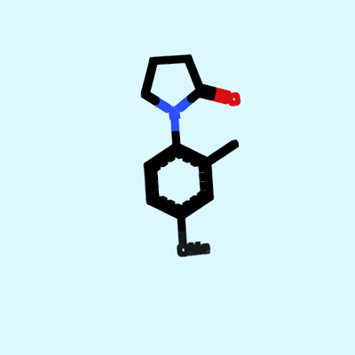 COc1ccc(N2CCCC2=O)c(C)c1